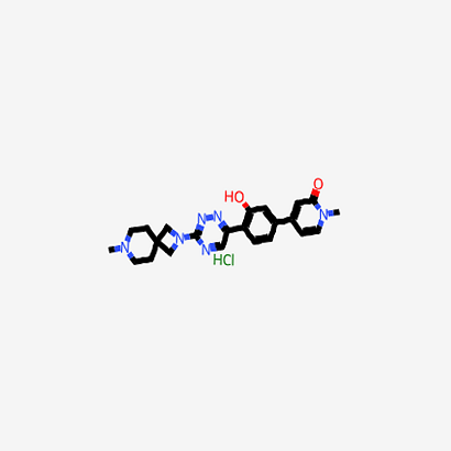 CN1CCC2(CC1)CN(c1ncc(-c3ccc(-c4ccn(C)c(=O)c4)cc3O)nn1)C2.Cl